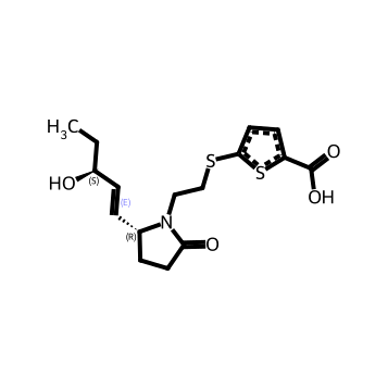 CC[C@H](O)/C=C/[C@H]1CCC(=O)N1CCSc1ccc(C(=O)O)s1